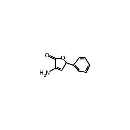 NC1=CC(c2ccccc2)OC1=O